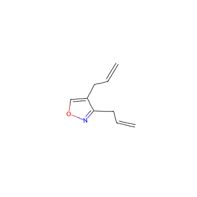 C=CCc1conc1CC=C